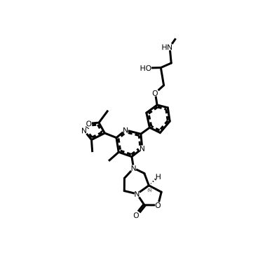 CNCC(O)COc1cccc(-c2nc(-c3c(C)noc3C)c(C)c(N3CCN4C(=O)OC[C@@H]4C3)n2)c1